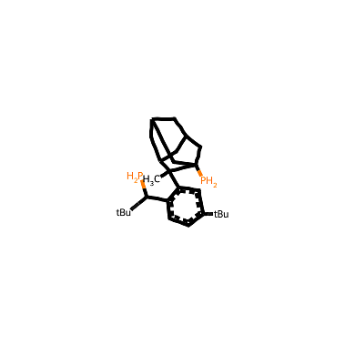 CC(C)(C)c1ccc(C(P)C(C)(C)C)c(C2(C)C3CC4CC(C3)CC2(P)C4)c1